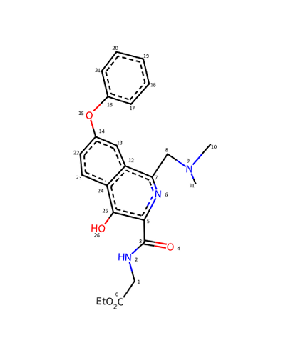 CCOC(=O)CNC(=O)c1nc(CN(C)C)c2cc(Oc3ccccc3)ccc2c1O